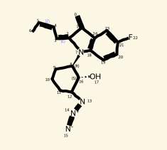 C=c1/c(=C\C=C/C)n([C@@H]2CCCC(N=[N+]=[N-])[C@H]2O)c2ccc(F)cc12